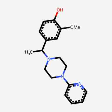 COc1cc(C(C)N2CCN(c3ccccn3)CC2)ccc1O